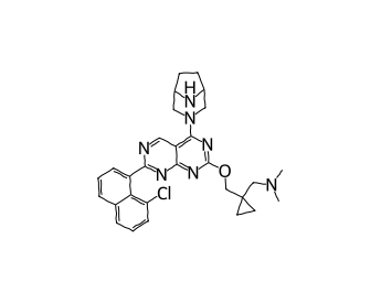 CN(C)CC1(COc2nc(N3CC4CCC(C3)N4)c3cnc(-c4cccc5cccc(Cl)c45)nc3n2)CC1